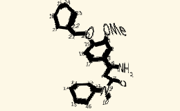 COc1cc(C(N)CC(=O)N(C)c2ccccc2)ccc1OCc1ccccc1